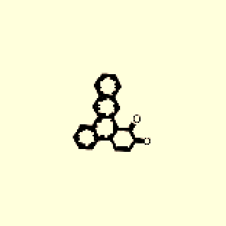 O=C1C=Cc2c(c3cc4ccccc4cc3c3ccccc23)C1=O